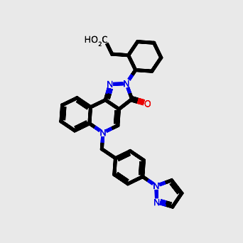 O=C(O)CC1CCCCC1n1nc2c3ccccc3n(Cc3ccc(-n4cccn4)cc3)cc-2c1=O